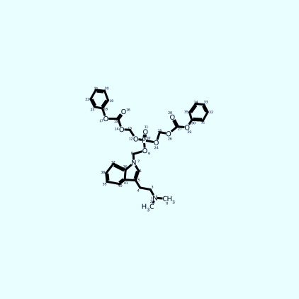 CN(C)CCc1cn(COP(=O)(OCOC(=O)Oc2ccccc2)OCOC(=O)Oc2ccccc2)c2ccccc12